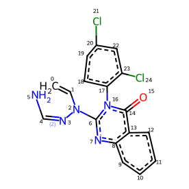 C=CN(/N=C\N)c1nc2ccccc2c(=O)n1-c1ccc(Cl)cc1Cl